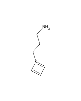 NCCC[Si]1=CC=C1